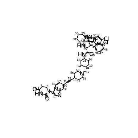 O=C1CCN(c2cnc3cc(C#CC4CCN(C[C@H]5CC[C@H](NC(=O)[C@@H]6NC7(CCCCC7)[C@@]7(C(=O)Nc8cc(Cl)ccc87)[C@H]6c6cccc(Cl)c6F)CC5)CC4)ccn23)C(=O)N1